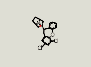 CN1C2CCC1CN(C1Cc3cc(Cl)cc(Cl)c3Oc3ccccc31)C2